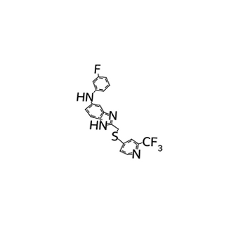 Fc1cccc(Nc2ccc3[nH]c(CSc4ccnc(C(F)(F)F)c4)nc3c2)c1